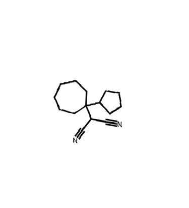 N#CC(C#N)C1(C2CCCC2)CCCCCC1